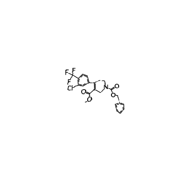 COC(=O)C1=C(c2ccc(C(F)(F)F)c(Cl)c2)CCN(C(=O)OCc2ccccc2)C1